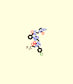 O=C(NCCN1CCNC1=O)c1ccccc1-n1cnc(Cn2nc(-c3ccc(Cl)cc3)n(CC(O)C(F)(F)F)c2=O)n1